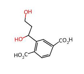 O=C(O)c1ccc(C(=O)O)c(C(O)CCO)c1